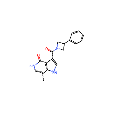 Cc1c[nH]c(=O)c2c(C(=O)N3CC(c4ccccc4)C3)c[nH]c12